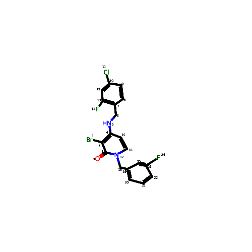 O=c1c(Br)c(NCc2ccc(Cl)cc2F)ccn1Cc1cccc(F)c1